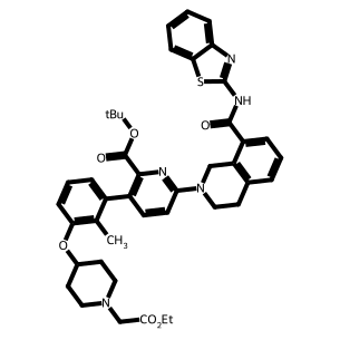 CCOC(=O)CN1CCC(Oc2cccc(-c3ccc(N4CCc5cccc(C(=O)Nc6nc7ccccc7s6)c5C4)nc3C(=O)OC(C)(C)C)c2C)CC1